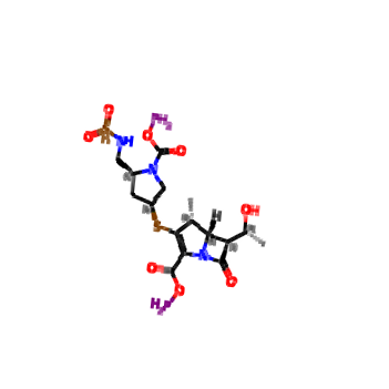 C[C@@H](O)[C@H]1C(=O)N2C(C(=O)OP)=C(S[C@H]3C[C@@H](CN[SH](=O)=O)N(C(=O)OP)C3)[C@H](C)[C@H]12